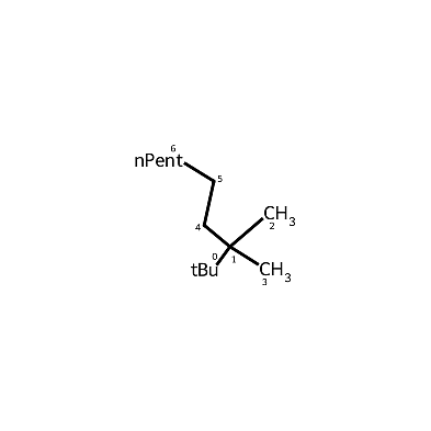 [CH2]C(C)(C)C(C)(C)CCCCCCC